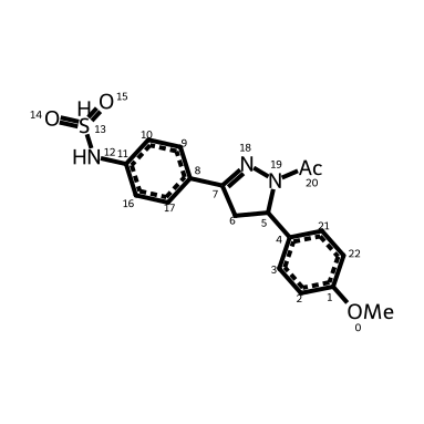 COc1ccc(C2CC(c3ccc(N[SH](=O)=O)cc3)=NN2C(C)=O)cc1